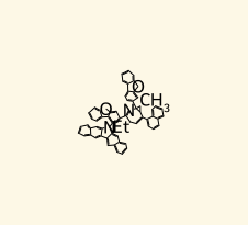 CCC1C=C(c2cccc3ccccc23)C2C(C)C2(c2ccc3c(c2)oc2ccccc23)N=C1c1cc(-n2c3cc4ccccc4cc3c3cc4ccccc4cc32)c2c(c1)oc1ccccc12